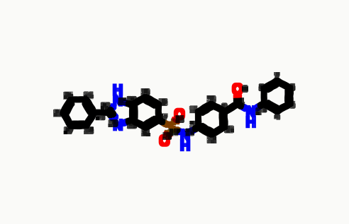 O=C(Nc1ccccc1)c1ccc(NS(=O)(=O)c2ccc3[nH]c(-c4ccccc4)nc3c2)cc1